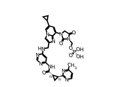 Cc1ccnc([C@H]2C[C@@H]2C(=O)Nc2cc(NCc3cn4cc(C5CC5)cc(N5CC(=O)N(COP(=O)(O)O)C5=O)c4n3)ncn2)n1